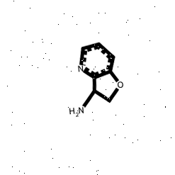 NC1COc2cccnc21